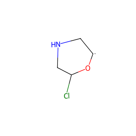 ClC1CNC[CH]O1